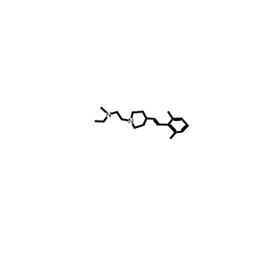 CCN(C)CCN1CCC(/C=C/c2c(C)cccc2C)CC1